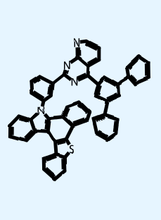 c1ccc(-c2cc(-c3ccccc3)cc(-c3nc(-c4cccc(-n5c6ccccc6c6c7c8ccccc8sc7c7ccccc7c65)c4)nc4ncccc34)c2)cc1